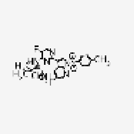 Cc1ccc(S(=O)(=O)n2cc(-c3ncc(F)c(N[C@H](CO)C(C)(C)C)n3)c3cc(F)cnc32)cc1